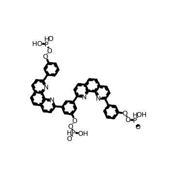 O=[PH](O)OOc1cccc(-c2ccc3ccc4ccc(-c5cc(OO[PH](=O)O)cc(-c6ccc7ccc8ccc(-c9cccc(OO[PH](=O)O)c9)nc8c7n6)c5)nc4c3n2)c1